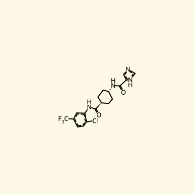 O=C(N[C@H]1CC[C@H](C(=O)Nc2cc(C(F)(F)F)ccc2Cl)CC1)c1cnc[nH]1